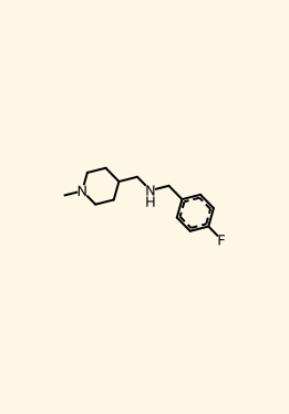 CN1CCC(CNCc2ccc(F)cc2)CC1